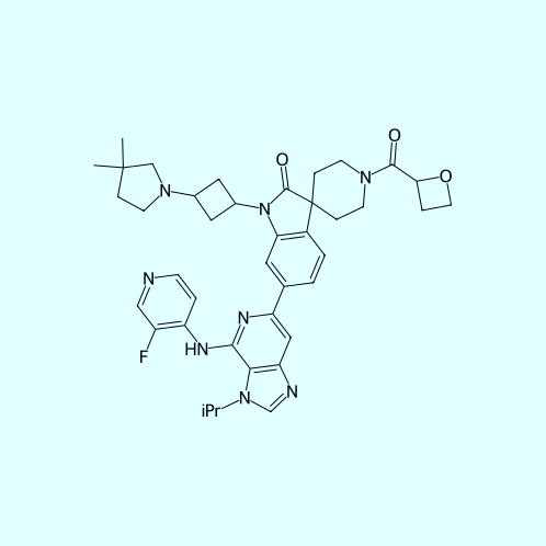 CC(C)n1cnc2cc(-c3ccc4c(c3)N(C3CC(N5CCC(C)(C)C5)C3)C(=O)C43CCN(C(=O)C4CCO4)CC3)nc(Nc3ccncc3F)c21